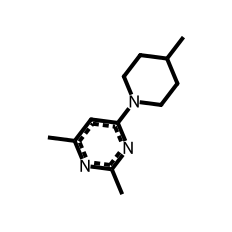 Cc1cc(N2CCC(C)CC2)nc(C)n1